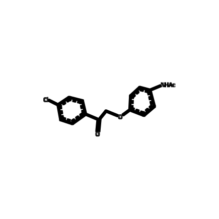 CC(=O)Nc1ccc(OCC(=O)c2ccc(Cl)cc2)cc1